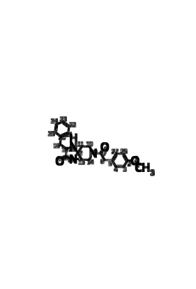 COc1ccc(CC(=O)N2CCC3(CC2)[N]C(=O)C(Cc2ccccc2)N3)cc1